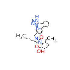 CCCCc1cn(C2C(CC)CCCC2C(=O)O)c(=O)n1Cc1ccc(-c2ccccc2-c2nnn[nH]2)nc1